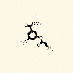 C=CC(=O)Oc1cc(N)cc(C(=O)OC)c1